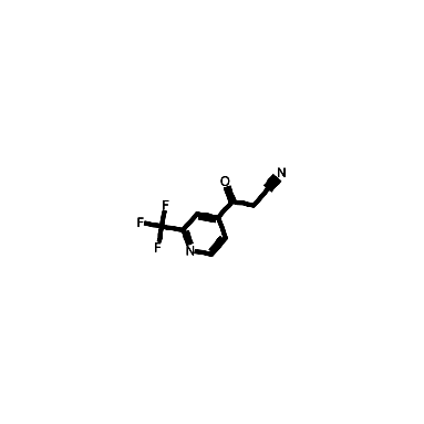 N#CCC(=O)c1ccnc(C(F)(F)F)c1